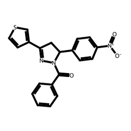 O=C(c1ccccc1)N1N=C(c2ccsc2)CC1c1ccc([N+](=O)[O-])cc1